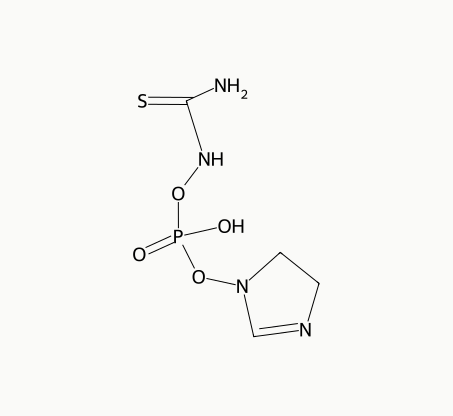 NC(=S)NOP(=O)(O)ON1C=NCC1